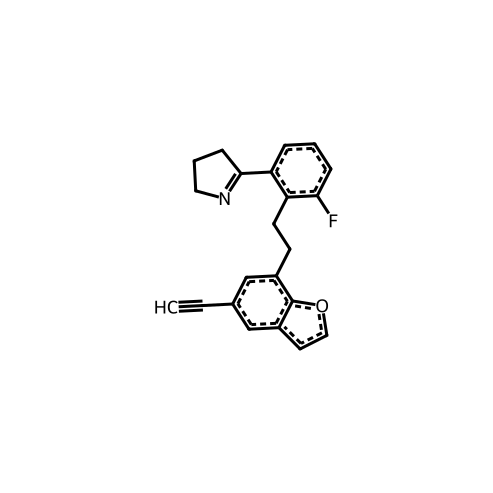 C#Cc1cc(CCc2c(F)cccc2C2=NCCC2)c2occc2c1